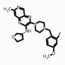 COc1ccc(CN2CCN(c3nc4cnc(C)cc4nc3N[C@@H]3CCOC3)CC2)c(F)c1